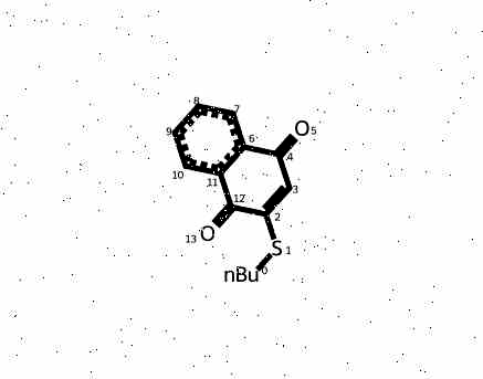 CCCCSC1=CC(=O)c2ccccc2C1=O